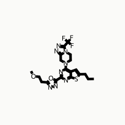 CCCc1cc2c(N3CCn4c(nnc4C(F)(F)F)C3)nc(-c3nnc(CCOC)o3)nc2s1